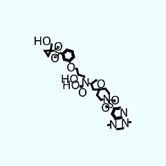 CN1CCN(C)c2ncc(S(=O)(=O)N3CCC4(CC3)C[C@@H](N(C[C@H](O)COc3cccc(S(=O)(=O)C5(CO)CC5)c3)C(=O)O)CO4)cc21